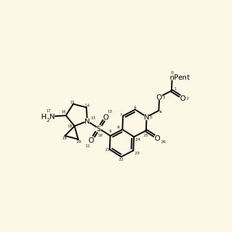 CCCCCC(=O)OCn1ccc2c(S(=O)(=O)N3CCC(N)C34CC4)cccc2c1=O